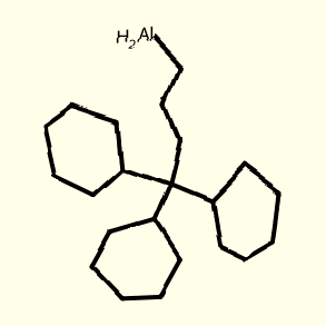 [AlH2][CH2]CCC(C1CCCCC1)(C1CCCCC1)C1CCCCC1